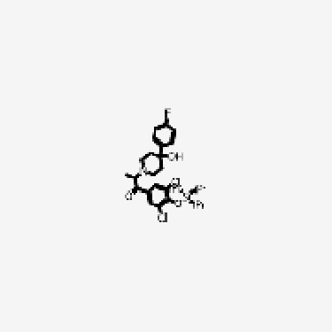 CC(C(=O)c1cc(Cl)c(O[Si](C(C)C)(C(C)C)C(C)C)c(Cl)c1)N1CCC(O)(c2ccc(F)cc2)CC1